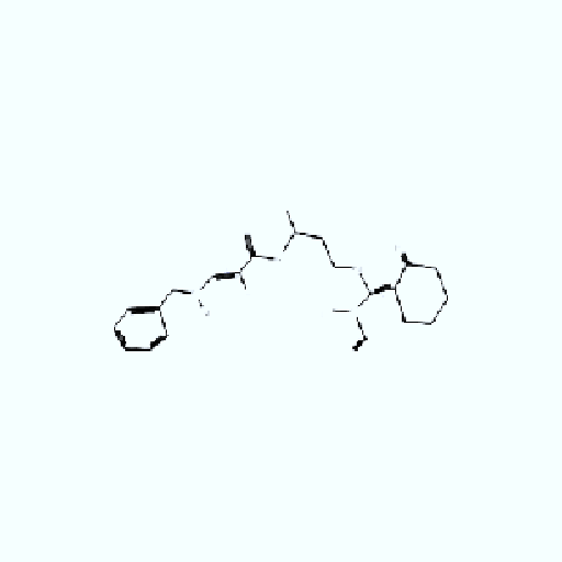 CC(CCN/C(=C1/CCCCC1=N)N(C)C=O)NC(=O)/C(N)=C/N(N)Cc1ccccc1